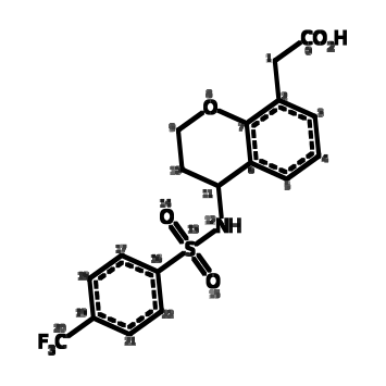 O=C(O)Cc1cccc2c1OCCC2NS(=O)(=O)c1ccc(C(F)(F)F)cc1